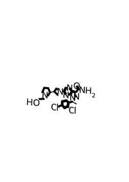 C[C@@H](c1ccc(Cl)cc1Cl)n1nc(C(N)=O)c2ncc(N3CC([C@@H]4CCCN(CCO)C4)C3)nc21